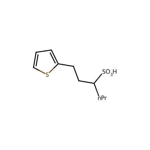 CCCC(CCc1cccs1)S(=O)(=O)O